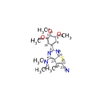 CCN(C)c1nc(-c2cc(OC)c(OC)c(OC)c2)nc2sc(C#N)c(C)c12